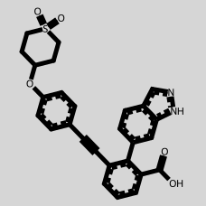 O=C(O)c1cccc(C#Cc2ccc(OC3CCS(=O)(=O)CC3)cc2)c1-c1ccc2cn[nH]c2c1